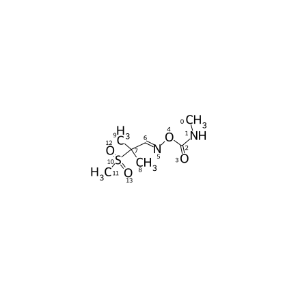 CNC(=O)ON=CC(C)(C)S(C)(=O)=O